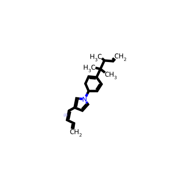 C=C/C=C\c1ccn(C2C=CC(C(C)(C)C(C)C=C)=CC2)c1